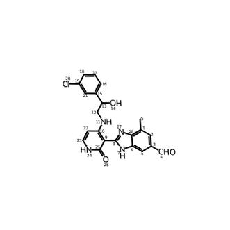 Cc1cc(C=O)cc2[nH]c(-c3c(NCC(O)c4cccc(Cl)c4)cc[nH]c3=O)nc12